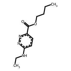 CCCCOC(=O)c1ccc(NCC)nn1